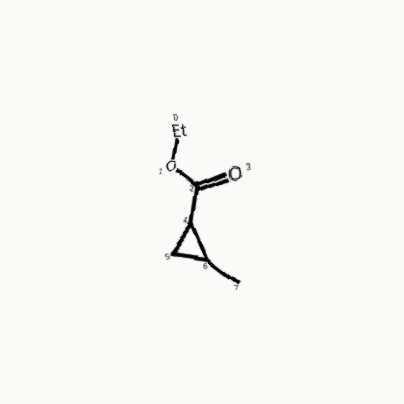 CCOC(=O)C1CC1C